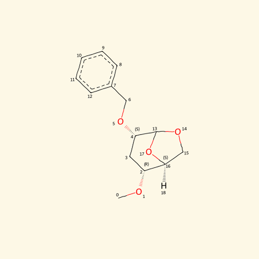 CO[C@@H]1C[C@H](OCc2ccccc2)C2OC[C@@H]1O2